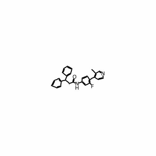 Cc1cnccc1-c1ccc(NC(=O)[CH]C(c2ccccc2)c2ccccc2)cc1F